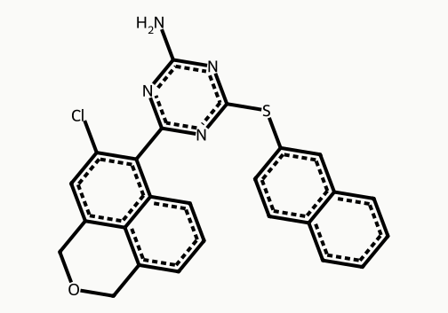 Nc1nc(Sc2ccc3ccccc3c2)nc(-c2c(Cl)cc3c4c(cccc24)COC3)n1